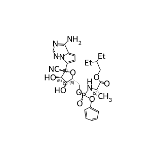 CCC(CC)COC(=O)[C@H](C)NP(=O)(OC[C@H]1O[C@@](C#N)(c2ccc3c(N)ncnn23)[C@H](O)[C@@H]1O)Oc1ccccc1